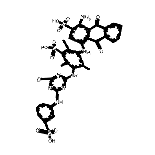 Cc1c(Nc2nc(Cl)nc(Nc3cccc(S(=O)(=O)O)c3)n2)c(C)c(S(=O)(=O)O)c(C)c1Nc1cc(S(=O)(=O)O)c(N)c2c1C(=O)c1ccccc1C2=O